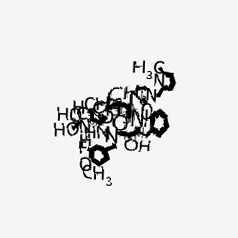 CC[C@H](C)[C@@H](C(=O)N[C@@H](Cc1ccccc1)[C@@H](O)CN(Cc1ccc(OC)c(F)c1)NC(=O)[C@@H](NC(=O)O)C(C)(C)C)N1CCN(Cc2cccc(C)n2)C1=O